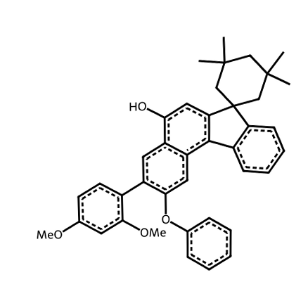 COc1ccc(-c2cc3c(O)cc4c(c3cc2Oc2ccccc2)-c2ccccc2C42CC(C)(C)CC(C)(C)C2)c(OC)c1